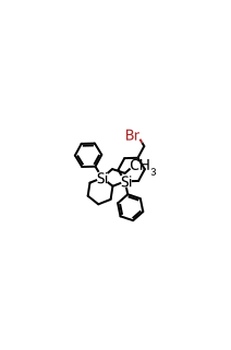 CCC[Si]1(c2ccccc2)CCCCC1[Si]1(c2ccccc2)CCC(CBr)CC1